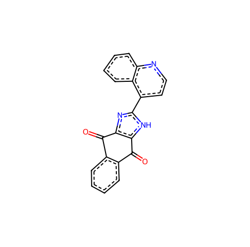 O=C1c2ccccc2C(=O)c2[nH]c(-c3ccnc4ccccc34)nc21